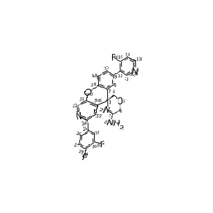 NC1=N[C@@]2(COC1)c1cc(-c3cnccc3F)ccc1Oc1cnc(-c3ccc(F)c(F)c3)cc12